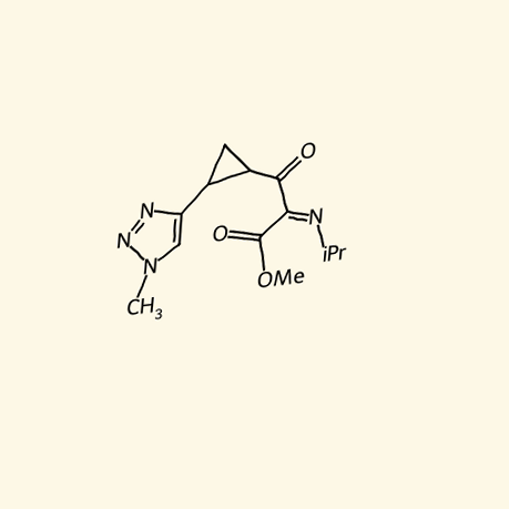 COC(=O)/C(=N\C(C)C)C(=O)C1CC1c1cn(C)nn1